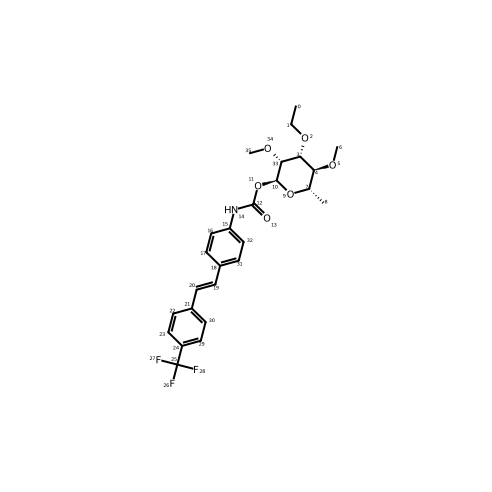 CCO[C@@H]1[C@@H](OC)[C@H](C)O[C@@H](OC(=O)Nc2ccc(/C=C/c3ccc(C(F)(F)F)cc3)cc2)[C@@H]1OC